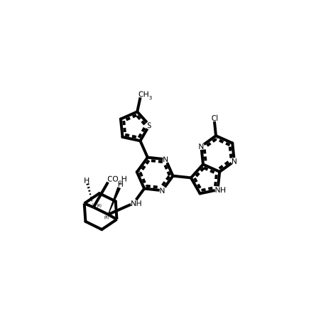 Cc1ccc(-c2cc(N[C@@H]3C4CCC(CC4)[C@H]3C(=O)O)nc(-c3c[nH]c4ncc(Cl)nc34)n2)s1